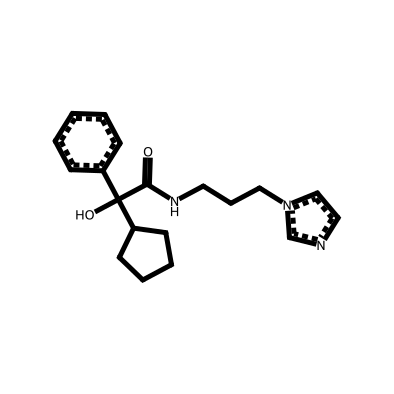 O=C(NCCCn1ccnc1)C(O)(c1ccccc1)C1CCCC1